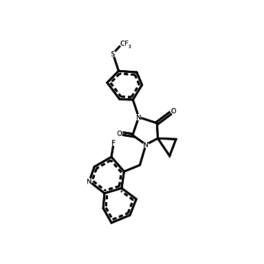 O=C1N(c2ccc(SC(F)(F)F)cc2)C(=O)C2(CC2)N1Cc1c(F)cnc2ccccc12